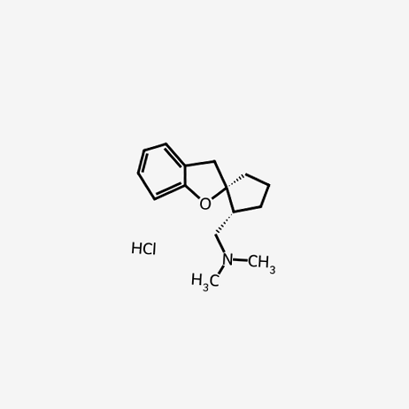 CN(C)C[C@H]1CCC[C@]12Cc1ccccc1O2.Cl